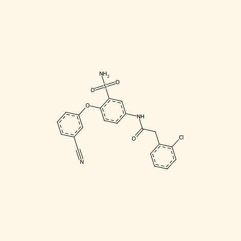 N#Cc1cccc(Oc2ccc(NC(=O)Cc3ccccc3Cl)cc2S(N)(=O)=O)c1